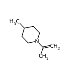 C=C(C)N1CCC(C)CC1